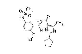 CCOc1ccc(NS(C)(=O)=O)cc1-c1nn2c(C3CCCC3)nc(C)c2c(=O)[nH]1